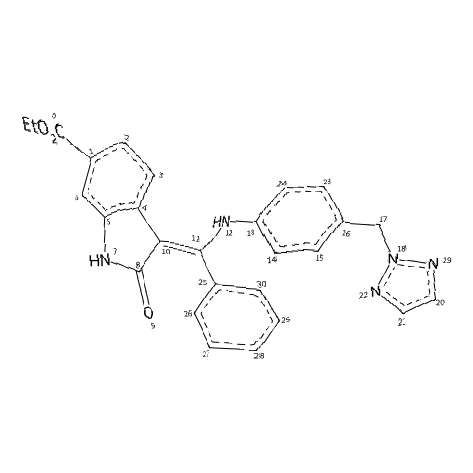 CCOC(=O)c1ccc2c(c1)NC(=O)C2=C(Nc1ccc(Cn2nccn2)cc1)c1ccccc1